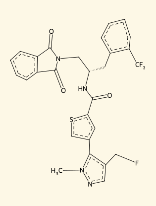 Cn1ncc(CF)c1-c1csc(C(=O)N[C@@H](Cc2ccccc2C(F)(F)F)CN2C(=O)c3ccccc3C2=O)c1